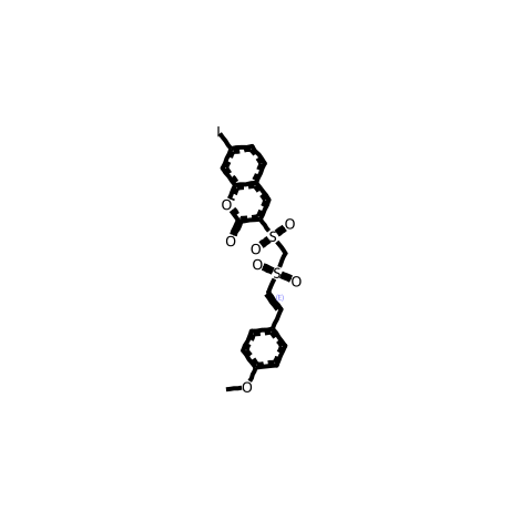 COc1ccc(/C=C/S(=O)(=O)CS(=O)(=O)c2cc3ccc(I)cc3oc2=O)cc1